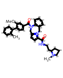 COc1cc(C(=O)N2Cc3ccc(C(=O)NCCC4CCCN4C)n3Cc3ccccc32)ccc1-c1ccccc1C